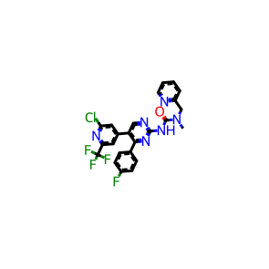 CN(Cc1ccccn1)C(=O)Nc1ncc(-c2cc(Cl)nc(C(F)(F)F)c2)c(-c2ccc(F)cc2)n1